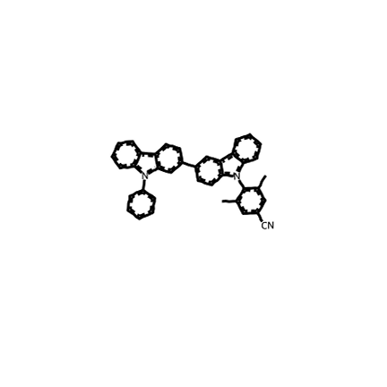 Cc1cc(C#N)cc(C)c1-n1c2ccccc2c2cc(-c3ccc4c5ccccc5n(-c5ccccc5)c4c3)ccc21